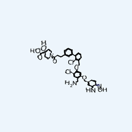 N=C1C=C(COc2cc(OCc3cccc(-c4cccc(CCC(=O)N5CCC(O)(C(=O)O)CC5)c4)c3Cl)c(Cl)cc2CN)C=C/C1=N/O